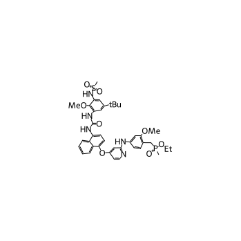 CCOP(C)(=O)Cc1ccc(Nc2cc(Oc3ccc(NC(=O)Nc4cc(C(C)(C)C)cc(NS(C)(=O)=O)c4OC)c4ccccc34)ccn2)cc1OC